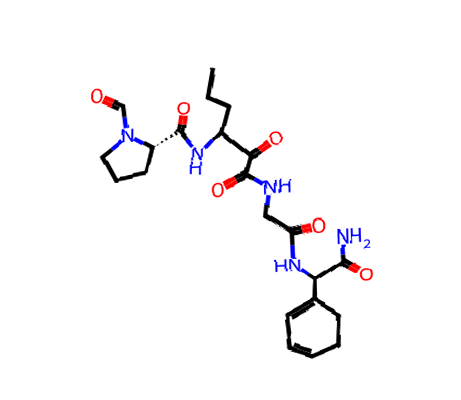 CCCC(NC(=O)[C@@H]1CCCN1C=O)C(=O)C(=O)NCC(=O)NC(C(N)=O)C1=CC=CCC1